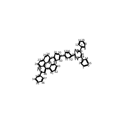 c1ccc(-c2cc(-c3ccccc3)nc(-c3ccc(-c4ccc(-c5ccc6ccc7nc(-c8ccccc8)cc(-c8ccccc8)c7c6c5)cc4)cc3)n2)cc1